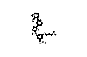 COc1cc(Nc2ncc(-c3ccnc(-c4ccc[nH]c4=O)c3)o2)cc(OCCCN(C)C)c1